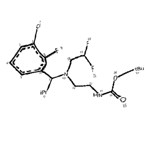 CC(C)C(c1cccc(Cl)c1F)N(CCNC(=O)OC(C)(C)C)CC(F)F